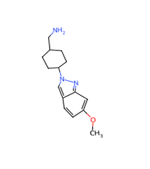 COc1ccc2cn(C3CCC(CN)CC3)nc2c1